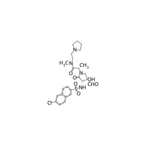 C[C@@H](C(=O)N(C)CCN1CCCC1)N1CC[C@H](NS(=O)(=O)c2ccc3cc(Cl)ccc3c2)C1=O.O=CO